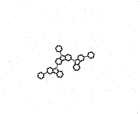 c1ccc(-c2ccc3c(c2)c2ccccc2n3-c2ccc3c(c2)c2cc(-n4c5ccccc5c5cc(-c6ccccc6)ccc54)ccc2n3-c2ccccc2)cc1